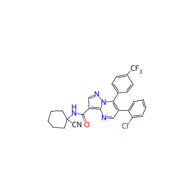 N#CC1(NC(=O)c2cnn3c(-c4ccc(C(F)(F)F)cc4)c(-c4ccccc4Cl)cnc23)CCCCC1